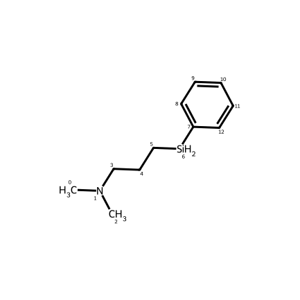 CN(C)CCC[SiH2]c1ccccc1